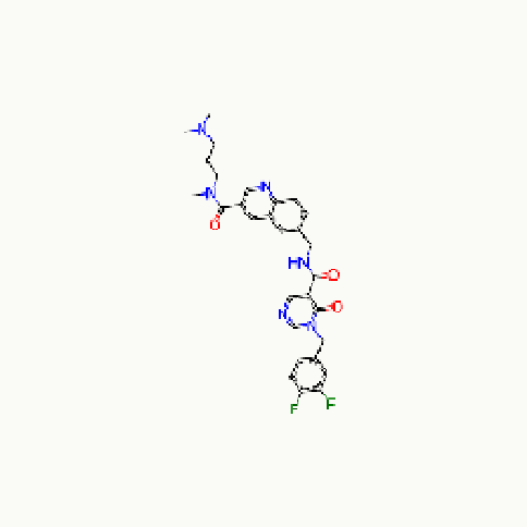 CN(C)CCCN(C)C(=O)c1cnc2ccc(CNC(=O)c3cncn(Cc4ccc(F)c(F)c4)c3=O)cc2c1